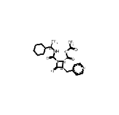 O=C(OC(=O)C(F)(F)F)[C@@H]1[C@@H](Cc2ccncc2)C(=O)N1C(=O)N[C@@H](C1CCCCC1)C(F)(F)F